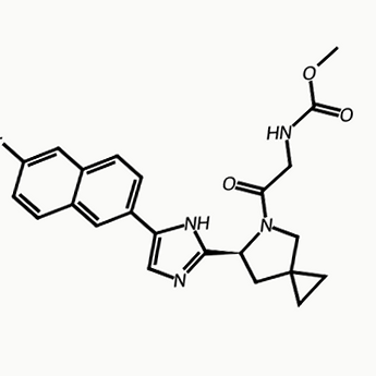 COC(=O)NCC(=O)N1CC2(CC2)C[C@H]1c1ncc(-c2ccc3cc(Br)ccc3c2)[nH]1